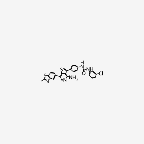 Cc1nc2cc(-c3cnc(N)c4c(-c5ccc(NC(=O)Nc6cccc(Cl)c6)cc5)csc34)ccc2s1